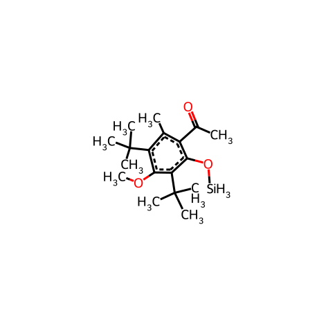 COc1c(C(C)(C)C)c(C)c(C(C)=O)c(O[SiH3])c1C(C)(C)C